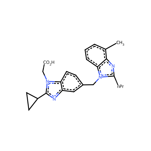 CCCc1nc2c(C)cccc2n1Cc1ccc2c(c1)nc(C1CC1)n2CC(=O)O